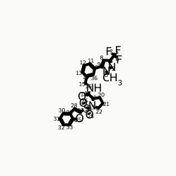 Cn1nc(C(F)(F)F)cc1-c1cccc(CNC(=O)C2CCCN2S(=O)(=O)c2cc3ccccc3o2)c1